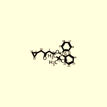 CC(C)(C)[Si](OCCC(=O)CC1CC1)(c1ccccc1)c1ccccc1